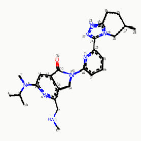 CNCc1nc(N(C)C(C)C)cc2c1CN(c1cccc(-c3nnc4n3CC(C)CC4)n1)C2=O